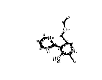 CCOCc1cnc(C)c(O)c1-c1ncccn1